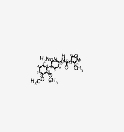 COc1cccc(-c2ccc(NC(=O)c3conc3C)nc2N)c1OC